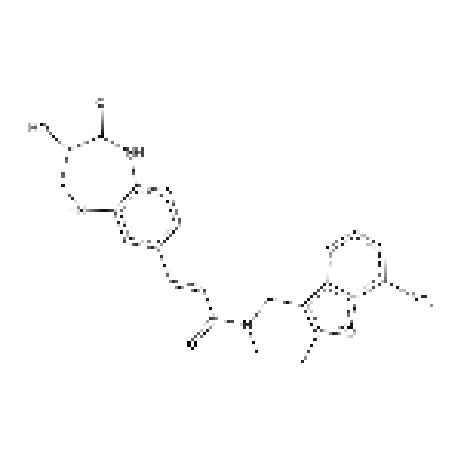 Cc1oc2c(N)cccc2c1CN(C)C(=O)/C=C/c1cnc2c(c1)NCC(O)C(=O)N2